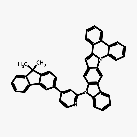 CC1(C)c2ccccc2-c2cc(-c3ccnc(-n4c5ccccc5c5cc6c(cc54)cc4c5ccccc5c5ccccc5n64)c3)ccc21